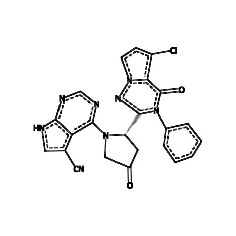 N#Cc1c[nH]c2ncnc(N3CC(=O)C[C@H]3c3nn4ccc(Cl)c4c(=O)n3-c3ccccc3)c12